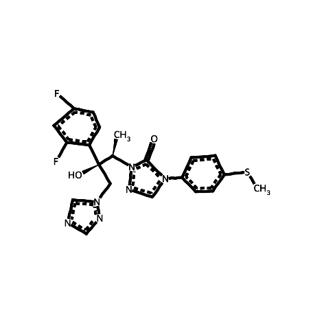 CSc1ccc(-n2cnn([C@H](C)[C@](O)(Cn3cncn3)c3ccc(F)cc3F)c2=O)cc1